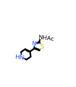 CC(=O)Nc1nc(C2=CCNCC2)cs1